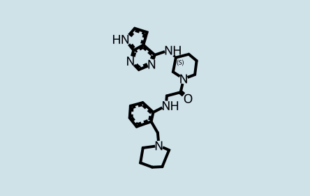 O=C(CNc1ccccc1CN1CCCCC1)N1CCC[C@H](Nc2ncnc3[nH]ccc23)C1